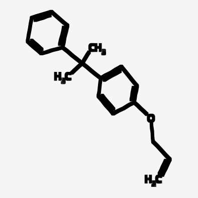 C=CCOc1ccc(C(C)(C)c2ccccc2)cc1